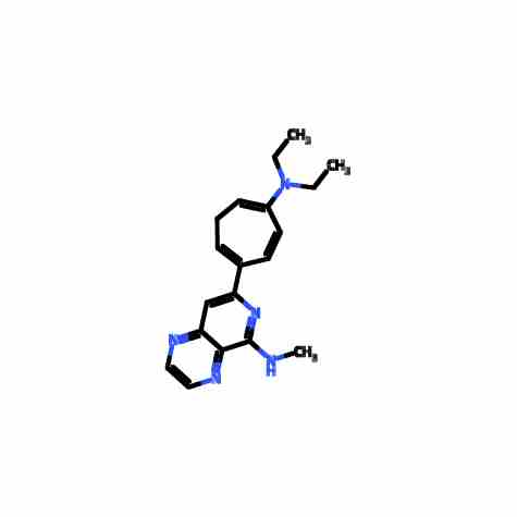 CCN(CC)C1=CCC=C(c2cc3nccnc3c(NC)n2)C=C1